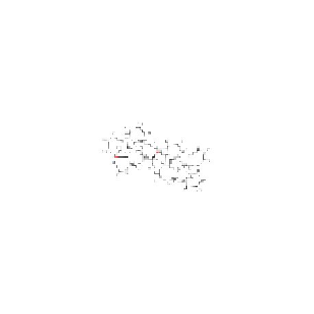 c1ccc2c(c1)Oc1cc(-c3ccc4c(c3)C3(c5ccccc5-4)c4ccccc4-c4ccc5ccccc5c43)ccc1C21c2ccccc2-c2ccccc21